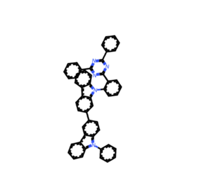 c1ccc(-c2nc(-c3ccccc3)nc(-c3ccccc3-n3c4ccccc4c4ccc(-c5ccc6c(c5)c5ccccc5n6-c5ccccc5)cc43)n2)cc1